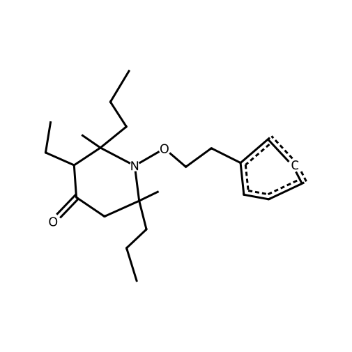 CCCC1(C)CC(=O)C(CC)C(C)(CCC)N1OCCc1ccccc1